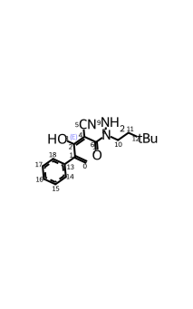 C=C(/C(O)=C(/C#N)C(=O)N(N)CCC(C)(C)C)c1ccccc1